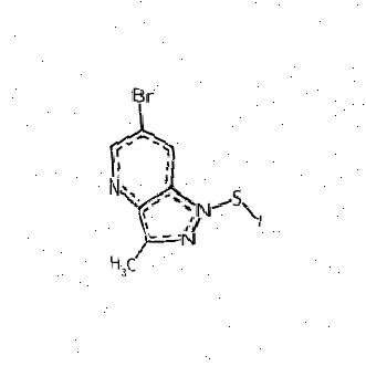 Cc1nn(SI)c2cc(Br)cnc12